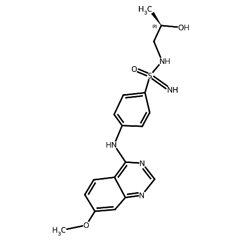 COc1ccc2c(Nc3ccc(S(=N)(=O)NC[C@@H](C)O)cc3)ncnc2c1